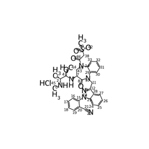 CN[C@@H](C)C(=O)N[C@@H]1C(=O)N(Cc2nn(-c3ccccc3C#N)c3ccccc23)c2ccccc2N(C(=O)CS(C)(=O)=O)[C@H]1C.Cl